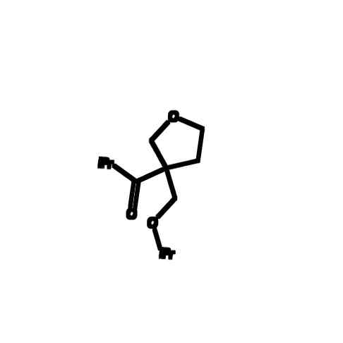 CC(C)OCC1(C(=O)C(C)C)CCOC1